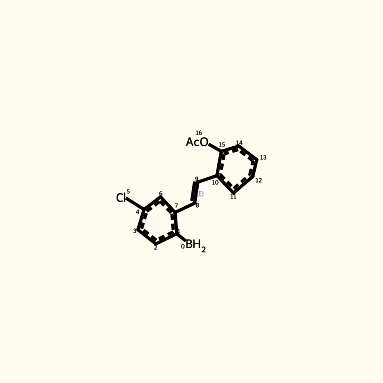 Bc1ccc(Cl)cc1/C=C/c1ccccc1OC(C)=O